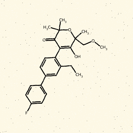 CCc1cc(-c2ccc(F)cc2)ccc1C1=C(O)C(C)(COC)OC(C)(C)C1=O